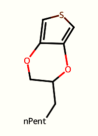 CCCCCCC1COc2cscc2O1